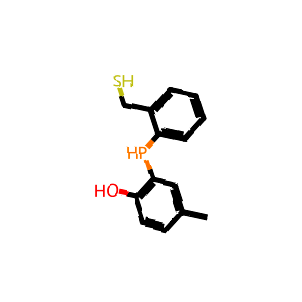 Cc1ccc(O)c(Pc2ccccc2CS)c1